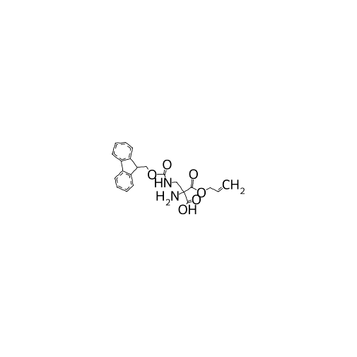 C=CCOC(=O)C(N)(CNC(=O)OCC1c2ccccc2-c2ccccc21)C(=O)O